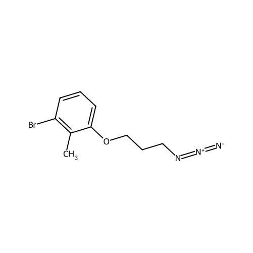 Cc1c(Br)cccc1OCCCN=[N+]=[N-]